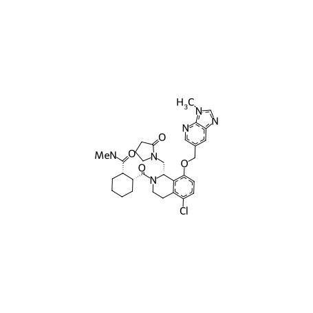 CNC(=O)[C@H]1CCCC[C@H]1C(=O)N1CCc2c(Cl)ccc(OCc3cnc4c(c3)ncn4C)c2[C@H]1CN1CCCC1=O